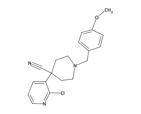 COc1ccc(CN2CCC(C#N)(c3cccnc3Cl)CC2)cc1